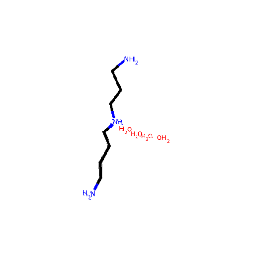 NCCCCNCCCN.O.O.O.O